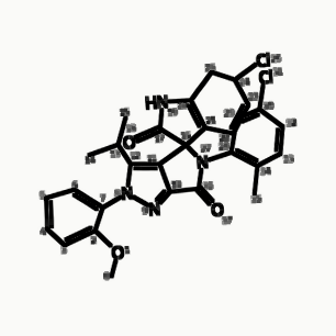 COc1ccccc1-n1nc2c(c1C(C)C)C1(C(=O)NC3=C1C=CC(Cl)C3)N(c1cc(Cl)ccc1C)C2=O